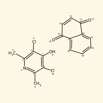 Cc1nc(C)c(Cl)c(O)c1Cl.O=C1C=CC(=O)c2ccccc21